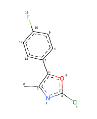 Cc1nc(Cl)oc1-c1ccc(F)cc1